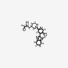 CC(=O)NCC1CCCN(c2cc(-c3nc4ccccc4n3C)c(Cl)cn2)C1